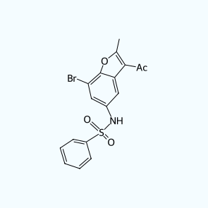 CC(=O)c1c(C)oc2c(Br)cc(NS(=O)(=O)c3ccccc3)cc12